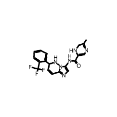 CC1=NC=C(C(=O)Nc2cnc3n2NC(c2ccccc2C(F)(F)F)C=C3)NC1